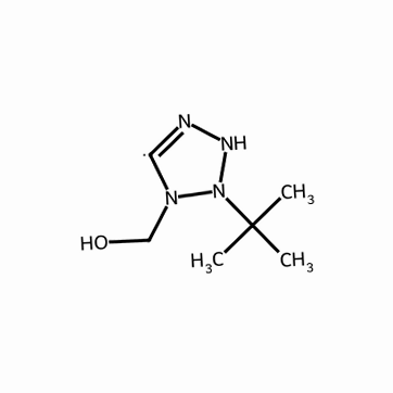 CC(C)(C)N1NN=[C]N1CO